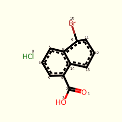 Cl.O=C(O)c1cccc2c(Br)cccc12